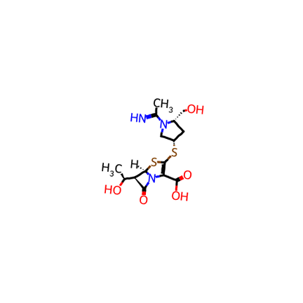 CC(=N)N1C[C@@H](SC2=C(C(=O)O)N3C(=O)[C@@H]([C@H](C)O)[C@H]3S2)C[C@H]1CO